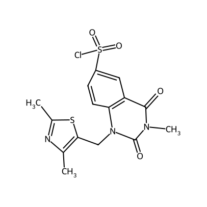 Cc1nc(C)c(Cn2c(=O)n(C)c(=O)c3cc(S(=O)(=O)Cl)ccc32)s1